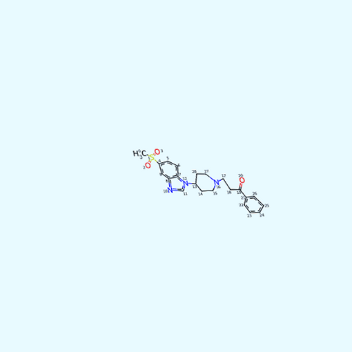 CS(=O)(=O)c1ccc2c(c1)ncn2C1CCN(CCC(=O)c2ccccc2)CC1